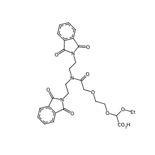 CCOC(OCCOCC(=O)N(CCN1C(=O)c2ccccc2C1=O)CCN1C(=O)c2ccccc2C1=O)C(=O)O